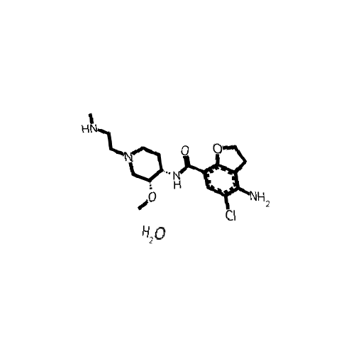 CNCCN1CC[C@H](NC(=O)c2cc(Cl)c(N)c3c2OCC3)[C@H](OC)C1.O